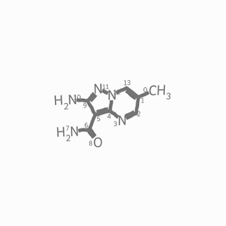 Cc1cnc2c(C(N)=O)c(N)nn2c1